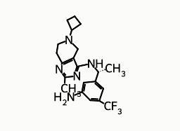 Cc1nc2c(c(N[C@H](C)c3cc(N)cc(C(F)(F)F)c3)n1)CN(C1CCC1)CC2